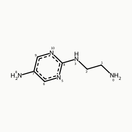 NCCNc1ncc(N)cn1